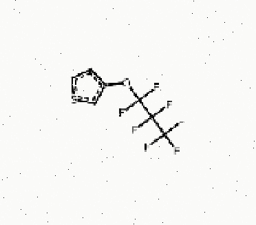 FC(F)(F)C(F)(F)C(F)(F)Oc1ccsc1